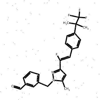 Cc1cc(C(F)=Cc2ccc(C(C)(C)C(F)(F)F)cc2)nn1Cc1cccc(C=O)c1